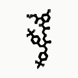 COC(=O)c1cc(Cl)ccc1NC(=O)COCC(=O)N(Cc1ccc(C(F)(F)F)cc1)Cc1ccc(C(F)(F)F)cc1